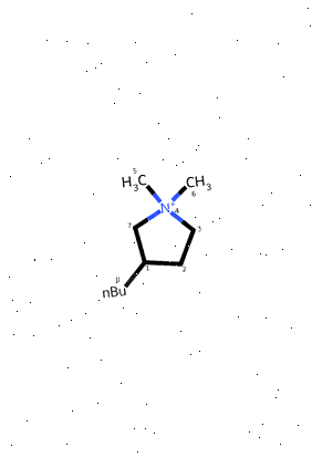 CCCCC1CC[N+](C)(C)C1